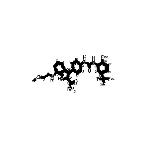 COCCNc1cccc2c(-c3ccc(NC(=O)Nc4cc(C(F)(F)F)ccc4F)cc3)c(C(N)=O)[nH]c12